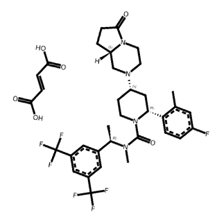 Cc1cc(F)ccc1[C@H]1C[C@@H](N2CCN3C(=O)CC[C@H]3C2)CCN1C(=O)N(C)[C@H](C)c1cc(C(F)(F)F)cc(C(F)(F)F)c1.O=C(O)C=CC(=O)O